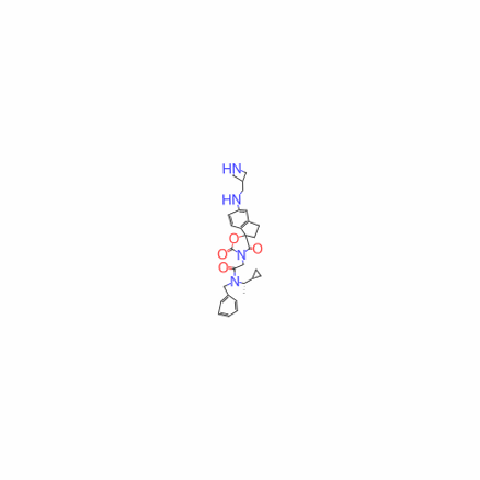 C[C@@H](C1CC1)N(Cc1ccccc1)C(=O)CN1C(=O)OC2(CCc3cc(NCC4CNC4)ccc32)C1=O